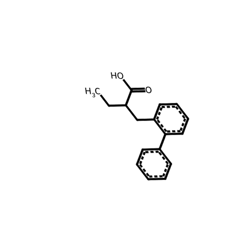 CCC(Cc1ccccc1-c1ccccc1)C(=O)O